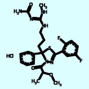 CNC(=NC(N)=O)NCCCC1(c2ccccc2)SC(c2cc(F)ccc2F)=NN1C(=O)C(C)OC.Cl